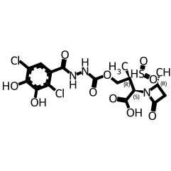 C[C@@H]1CC(=O)N1[C@@H](C(=O)O)[C@](C)(COC(=O)NNC(=O)c1cc(Cl)c(O)c(O)c1Cl)[SH](=O)=O